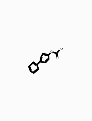 CC(=O)C(=O)Oc1ccc(-c2ccccc2)cc1